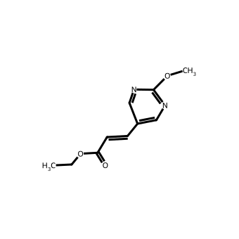 CCOC(=O)/C=C/c1cnc(OC)nc1